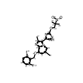 Cc1cc(OCc2c(F)cccc2F)c2nc(C)c(-c3nc(OCC(C)(C)[N+](=O)[O-])n[nH]3)n2c1